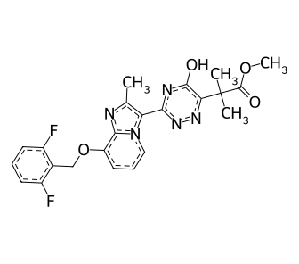 COC(=O)C(C)(C)c1nnc(-c2c(C)nc3c(OCc4c(F)cccc4F)cccn23)nc1O